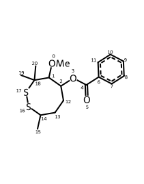 COC1C(OC(=O)c2ccccc2)CCC(C)SSC1(C)C